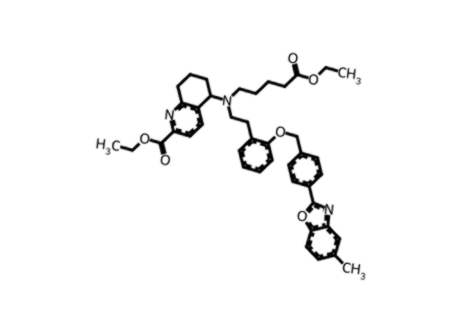 CCOC(=O)CCCCN(CCc1ccccc1OCc1ccc(-c2nc3cc(C)ccc3o2)cc1)C1CCCc2nc(C(=O)OCC)ccc21